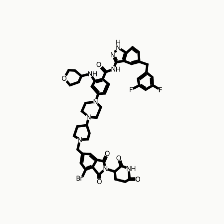 O=C1CCC(N2C(=O)c3cc(CN4CCC(N5CCN(c6ccc(C(=O)Nc7n[nH]c8ccc(Cc9cc(F)cc(F)c9)cc78)c(NC7CCOCC7)c6)CC5)CC4)cc(Br)c3C2=O)C(=O)N1